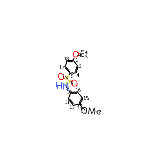 CCOc1ccc(S(=O)(=O)Nc2ccc(OC)cc2)cc1